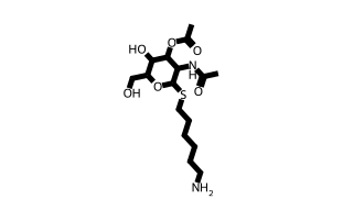 CC(=O)NC1C(SCCCCCCN)OC(CO)C(O)C1OC(C)=O